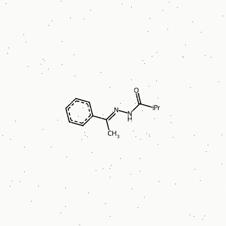 CC(=NNC(=O)C(C)C)c1ccccc1